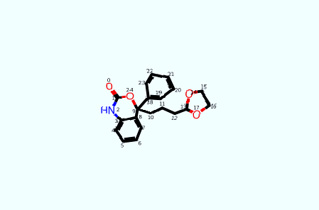 O=C1Nc2ccccc2C(CCCC2OCCO2)(c2ccccc2)O1